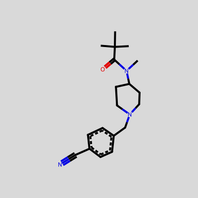 CN(C(=O)C(C)(C)C)C1CCN(Cc2ccc(C#N)cc2)CC1